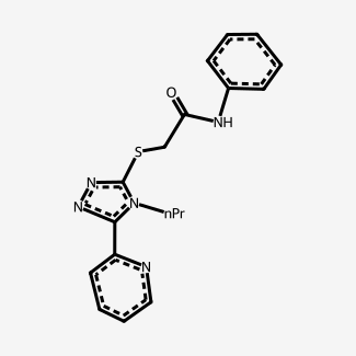 CCCn1c(SCC(=O)Nc2ccccc2)nnc1-c1ccccn1